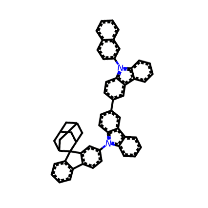 c1ccc2c(c1)-c1ccc(-n3c4ccccc4c4cc(-c5ccc6c(c5)c5ccccc5n6-c5ccc6ccccc6c5)ccc43)cc1C21C2CC3CC(C2)CC1C3